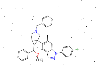 Cc1cc2c(cnn2-c2ccc(F)cc2)cc1C12CN(Cc3ccccc3)CC1C2C(OC=O)c1ccccc1